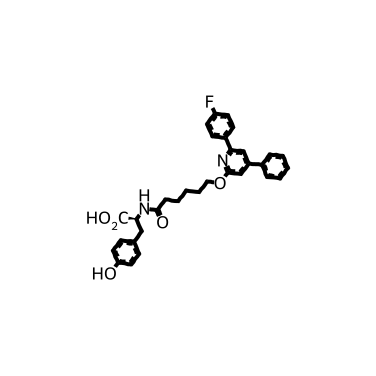 O=C(CCCCCOc1cc(-c2ccccc2)cc(-c2ccc(F)cc2)n1)N[C@@H](Cc1ccc(O)cc1)C(=O)O